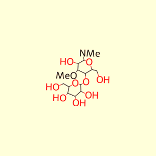 CNC1OC(CO)C(OC2OC(CO)C(O)C(O)C2O)C(OC)C1O